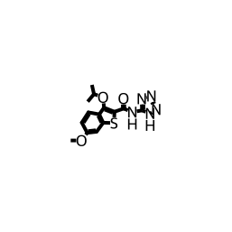 COc1ccc2c(OC(C)C)c(C(=O)Nc3nnn[nH]3)sc2c1